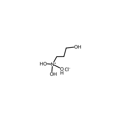 OCCC[N+](O)(O)O.[Cl-]